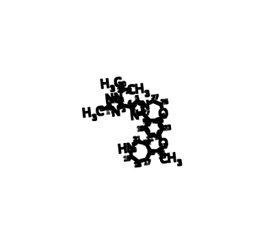 Cc1nc(-c2cn3c(n2)-c2ccc(OC(C)C4CCCNCC4)cc2OCC3)n(C(C)C)n1